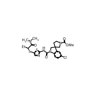 CCC(Sc1cnc(NC(=O)N2CC3(CCN(C(=O)OC)C3)c3cc(Cl)ccc32)s1)C(=O)N(C)C